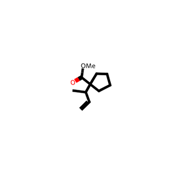 C=CC(C)C1(C(=O)OC)CCCC1